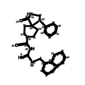 N=C(NCc1cccc2ccccc12)NC(=O)N1CCC2(CC1)C(=O)NCN2c1ccccc1